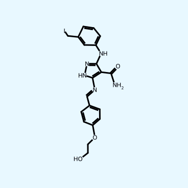 NC(=O)c1c(Nc2cccc(CI)c2)n[nH]c1/N=C/c1ccc(OCCO)cc1